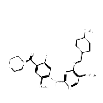 CNC1CCC(COc2nc(Nc3cc(F)c(C(=O)N4CCOCC4)cc3OC)ncc2OC)CC1